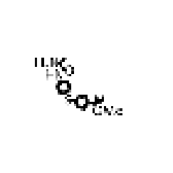 COC(=O)c1ccc(Sc2ccc(NC(=O)C(C)N)cc2)cc1